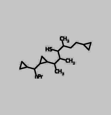 CCCC(C1CC1)C1CC1C(C)C(C)C(S)C(C)CCC1CC1